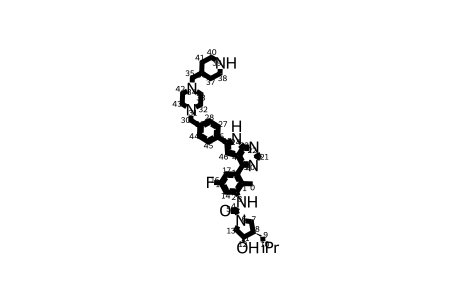 Cc1c(NC(=O)N2C[C@H](CC(C)C)[C@@H](O)C2)cc(F)cc1-c1ncnc2[nH]c(-c3ccc(CN4CCN(CC5CCNCC5)CC4)cc3)cc12